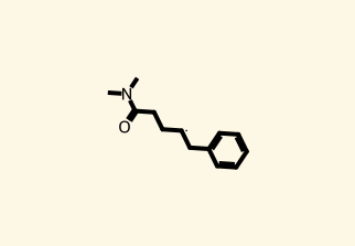 CN(C)C(=O)CC[CH]Cc1ccccc1